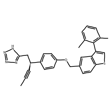 CC#C[C@@H](Cc1nnn[nH]1)c1ccc(OCc2ccc3scc(-c4c(C)cccc4C)c3c2)cc1